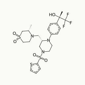 C[C@H]1CS(=O)(=O)CCN1C[C@H]1CN(S(=O)(=O)c2cccs2)CCN1c1ccc([C@](C)(O)C(F)(F)F)cc1